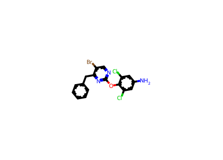 Nc1cc(Cl)c(Oc2ncc(Br)c(Cc3ccccc3)n2)c(Cl)c1